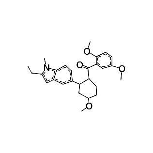 CCc1cc2cc(C3CC(OC)CCC3C(=O)c3cc(OC)ccc3OC)ccc2n1C